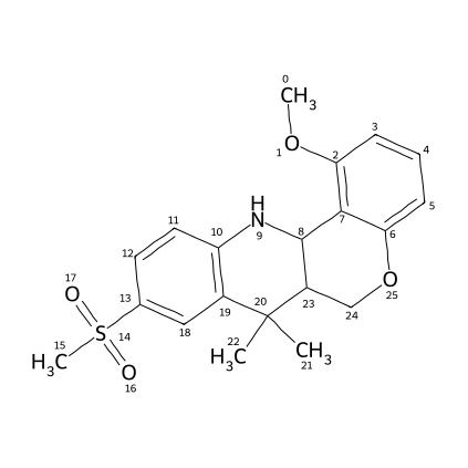 COc1cccc2c1C1Nc3ccc(S(C)(=O)=O)cc3C(C)(C)C1CO2